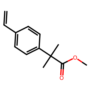 C=Cc1ccc(C(C)(C)C(=O)OC)cc1